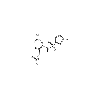 Cc1ccc(S(=O)(=O)Nc2cc(Cl)ccc2C[SH](=O)=O)o1